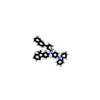 CC1(C)c2ccccc2-c2ccc(N(c3ccc(N4c5ccccc5C5C=CC=CC54)cc3)c3cccc(-c4ccc5ccccc5c4)c3)cc21